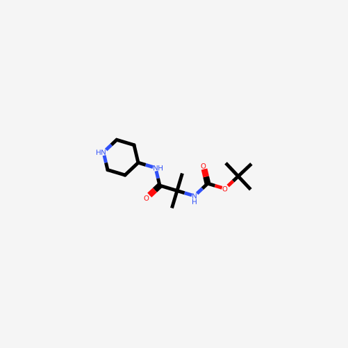 CC(C)(C)OC(=O)NC(C)(C)C(=O)NC1CCNCC1